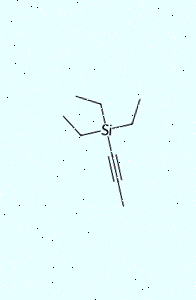 CC#C[Si](CC)(CC)CC